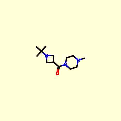 CN1CCN(C(=O)C2CN(C(C)(C)C)C2)CC1